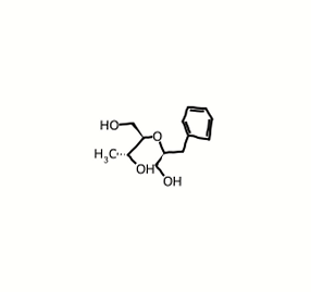 C[C@@H](O)[C@@H](CO)O[C@H](CO)Cc1ccccc1